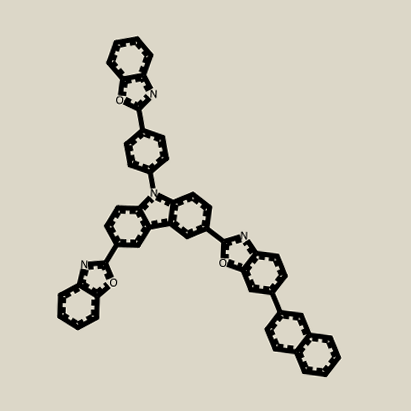 c1ccc2cc(-c3ccc4nc(-c5ccc6c(c5)c5cc(-c7nc8ccccc8o7)ccc5n6-c5ccc(-c6nc7ccccc7o6)cc5)oc4c3)ccc2c1